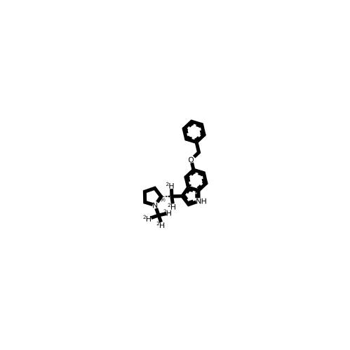 [2H]C([2H])(c1c[nH]c2ccc(OCc3ccccc3)cc12)[C@H]1CCCN1C([2H])([2H])[2H]